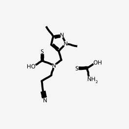 Cc1cc(CN(CCC#N)C(O)=S)n(C)n1.NC(O)=S